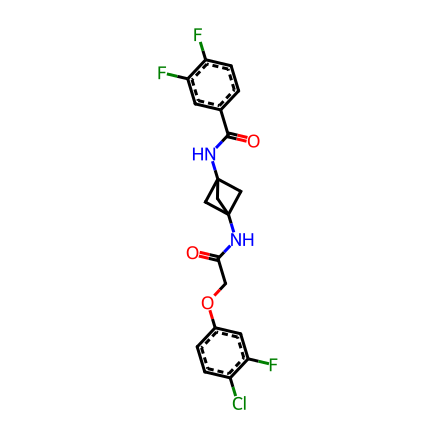 O=C(COc1ccc(Cl)c(F)c1)NC12CC(NC(=O)c3ccc(F)c(F)c3)(C1)C2